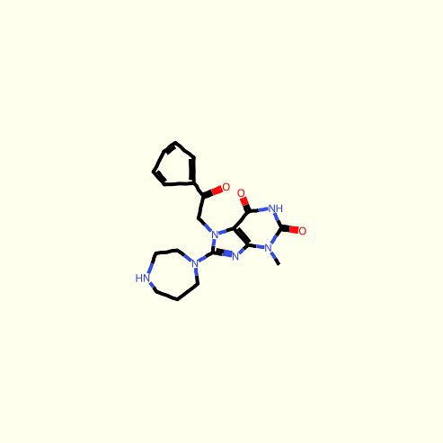 Cn1c(=O)[nH]c(=O)c2c1nc(N1CCCNCC1)n2CC(=O)c1ccccc1